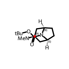 CN[C@H]1C[C@H]2CC[C@@H](C1)N2C(=O)OC(C)(C)C